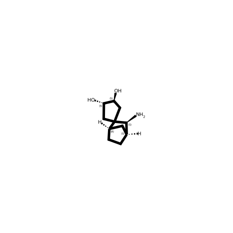 N[C@H]1[C@H]2CC[C@H](C2)C12C[C@H](O)[C@@H](O)C2